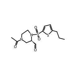 CCCc1ccc(S(=O)(=O)N2CCN(C(C)=O)C[C@@H]2C=O)s1